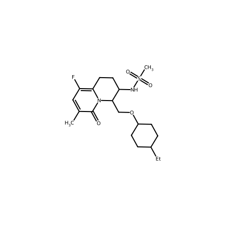 CCC1CCC(OCC2C(NS(C)(=O)=O)CCc3c(F)cc(C)c(=O)n32)CC1